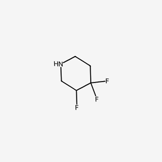 FC1CNCCC1(F)F